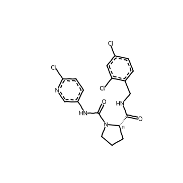 O=C(NCc1ccc(Cl)cc1Cl)[C@@H]1CCCN1C(=O)Nc1ccc(Cl)nc1